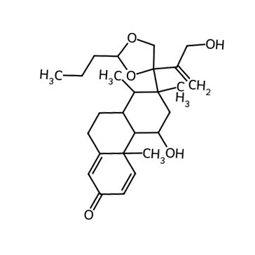 C=C(CO)C1(C2(C)CC(O)C3C(CCC4=CC(=O)C=CC43C)C2C)COC(CCC)O1